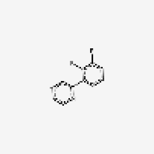 Fc1cccc(-c2c[c]ccn2)c1F